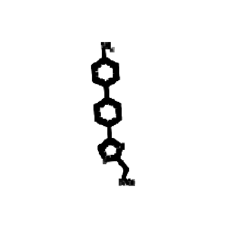 CNCc1nc(-c2ccc(-c3ccc(N)cc3)cc2)cs1